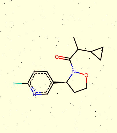 CC(C(=O)N1OCC[C@H]1c1ccc(F)nc1)C1CC1